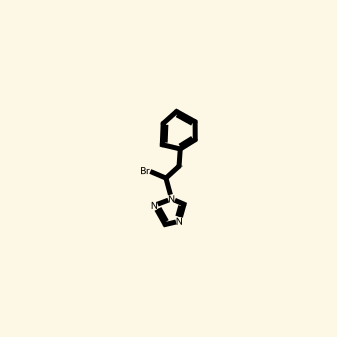 BrC([CH]c1ccccc1)n1cncn1